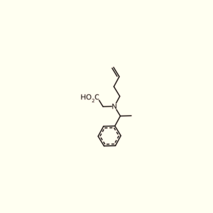 C=CCCN(CC(=O)O)C(C)c1ccccc1